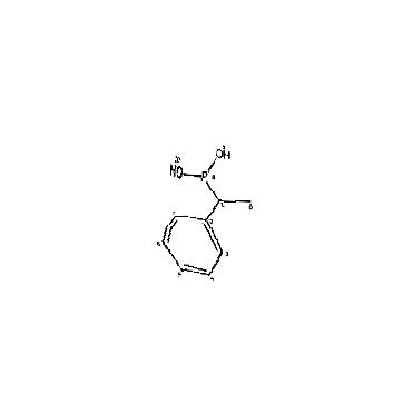 CC(c1ccccc1)P(O)O